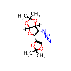 CC1(C)OC=C([C@@H]2O[C@@H]3OC(C)(C)O[C@@H]3[C@H]2N=[N+]=[N-])O1